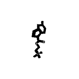 CC1C=CC2=C(C=CC2C(=O)OCC[N+](C)(C)C)C1